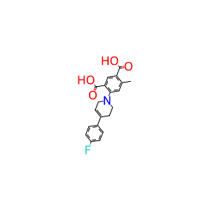 Cc1cc(N2CC=C(c3ccc(F)cc3)CC2)c(C(=O)O)cc1C(=O)O